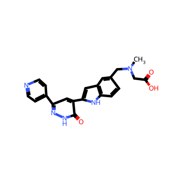 CN(CC(=O)O)Cc1ccc2[nH]c(-c3cc(-c4ccncc4)n[nH]c3=O)cc2c1